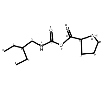 CCC(CC)CNC(=O)OC(=O)C1CCCN1